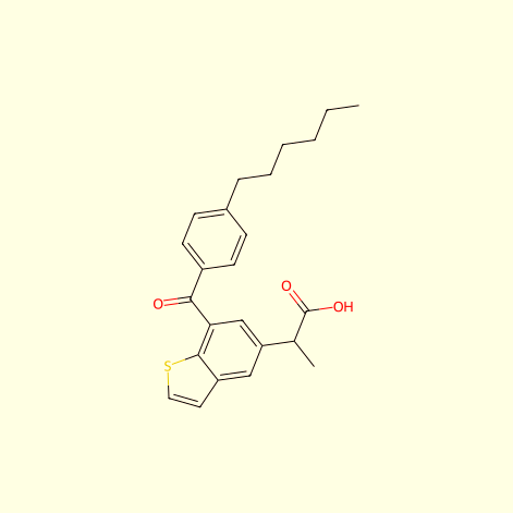 CCCCCCc1ccc(C(=O)c2cc(C(C)C(=O)O)cc3ccsc23)cc1